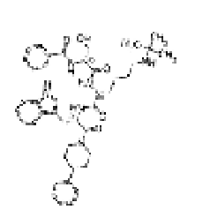 CC(C)(C)NCCCC[C@@H](NC(=O)[C@@H](CO)NC(=O)c1ccccc1)C(=O)N[C@@H](Cc1c[nH]c2ccccc12)C(=O)N1CCC(c2ccccc2)CC1